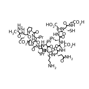 CC(C)C[C@H](NC(=O)[C@H](CC(=O)O)NC(=O)[C@H](CCC(N)=O)NC(=O)[C@H](CCCCN)NC(=O)[C@@H](NC(=O)[C@H](CC(C)C)NC(=O)[C@@H]1CCCN1C(=O)[C@@H](NC(=O)[C@@H]1CCCN1C(=O)[C@H](CCC(=O)O)NC(=O)[C@H](C)N)C(C)C)C(C)C)C(=O)N[C@@H](CCC(=O)O)C(=O)N[C@@H](CS)C(=O)NCC(=O)O